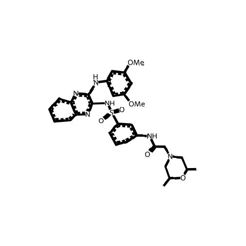 COc1cc(Nc2nc3ccccc3nc2NS(=O)(=O)c2cccc(NC(=O)CN3CC(C)OC(C)C3)c2)cc(OC)c1